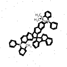 Cc1ccccc1N(c1ccccc1)c1ccc2cc3c(cc2c1)C1(c2cc4cc(N(c5ccccc5)c5ccccc5[Si](C)(C)C)ccc4cc2-3)c2ccccc2-c2c1ccc1ccccc21